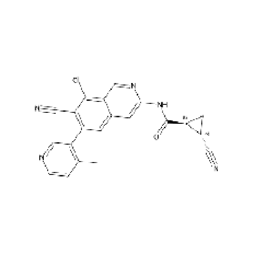 Cc1ccncc1-c1cc2cc(NC(=O)[C@H]3C[C@@H]3C#N)ncc2c(Cl)c1C#N